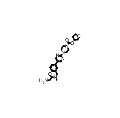 CN(Cc1cccc(-c2cnc(N3CCN(C(=O)O[C@H]4CCOC4)CC3)nc2)c1)C(=O)CN